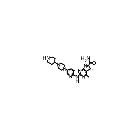 Cc1nc(Nc2ccc(N3CCN(C4CCNCC4)CC3)cn2)nc2c1[C@@H](C)C(C(N)=O)=N2